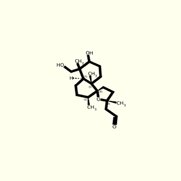 C[C@H]1CC[C@H]2C(C)(CO)C(O)CC[C@]2(C)[C@@]12CC[C@](C)(CC=O)O2